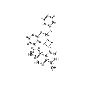 OB1NN=C(C2CC(N(Cc3ccccc3)Cc3ccccc3)C2)c2c1cnc1[nH]ccc21